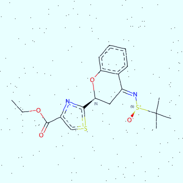 CCOC(=O)c1csc([C@@H]2CC(=N[S@+]([O-])C(C)(C)C)c3ccccc3O2)n1